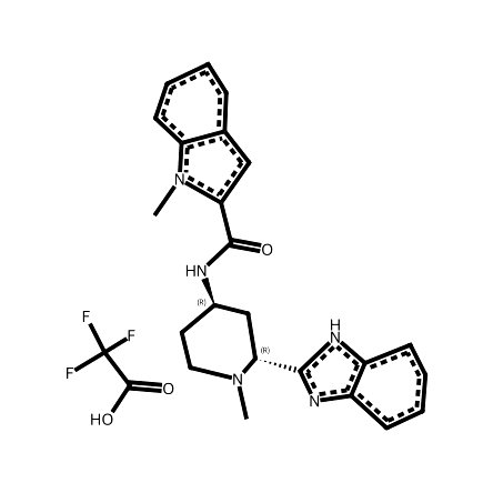 CN1CC[C@@H](NC(=O)c2cc3ccccc3n2C)C[C@@H]1c1nc2ccccc2[nH]1.O=C(O)C(F)(F)F